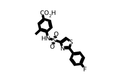 Cc1cc(C(=O)O)ccc1NS(=O)(=O)c1csc(-c2ccc(F)cc2)n1